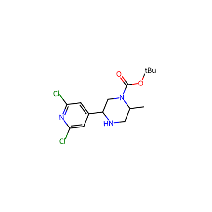 CC1CNC(c2cc(Cl)nc(Cl)c2)CN1C(=O)OC(C)(C)C